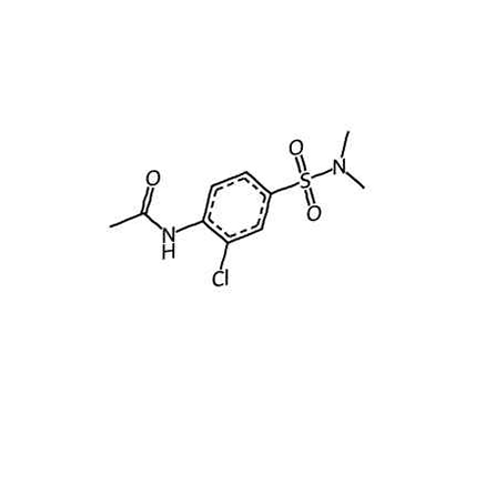 CC(=O)Nc1ccc(S(=O)(=O)N(C)C)cc1Cl